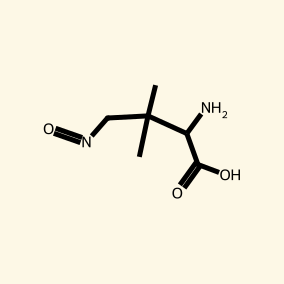 CC(C)(CN=O)C(N)C(=O)O